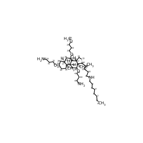 CCCCCCCCNCCC[C@@H](C)[C@H]1CC[C@H]2[C@@H]3[C@H](OCCCOC)C[C@@H]4C[C@H](OCCCN)CC[C@]4(C)[C@H]3C[C@H](OCCCN)[C@]12C